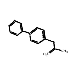 C=C(C)Cc1ccc(-c2ccccc2)cc1